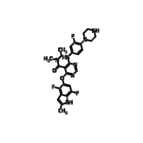 CCN(C)C(=O)c1c(Nc2ccc(N3CCNCC3)c(F)c2)ncnc1Oc1cc(F)c2[nH]c(C)cc2c1F